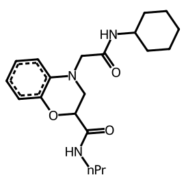 CCCNC(=O)C1CN(CC(=O)NC2CCCCC2)c2ccccc2O1